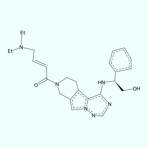 CCN(CC)C/C=C/C(=O)N1CCc2c(cn3ncnc(N[C@H](CO)c4ccccc4)c23)C1